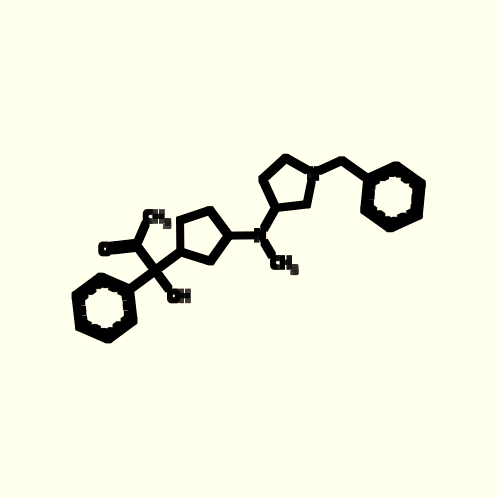 CC(=O)C(O)(c1ccccc1)C1CCC(N(C)C2CCN(Cc3ccccc3)C2)C1